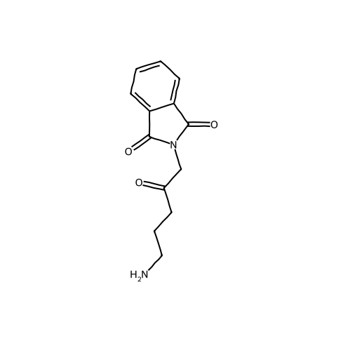 NCCCC(=O)CN1C(=O)c2ccccc2C1=O